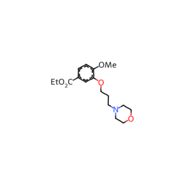 CCOC(=O)c1ccc(OC)c(OCCCN2CCOCC2)c1